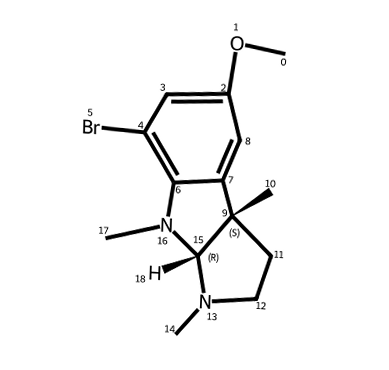 COc1cc(Br)c2c(c1)[C@]1(C)CCN(C)[C@@H]1N2C